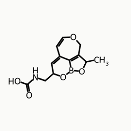 CC1OB2OC(CNC(=O)O)C=C3C=COCC1=C23